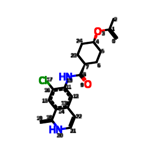 C=C(C)O[C@H]1CC[C@@H](C(=O)Nc2cc3c(cc2Cl)C(=C)NC=C3)CC1